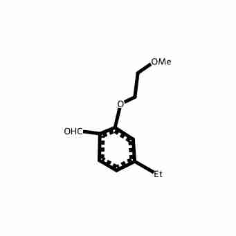 CCc1ccc(C=O)c(OCCOC)c1